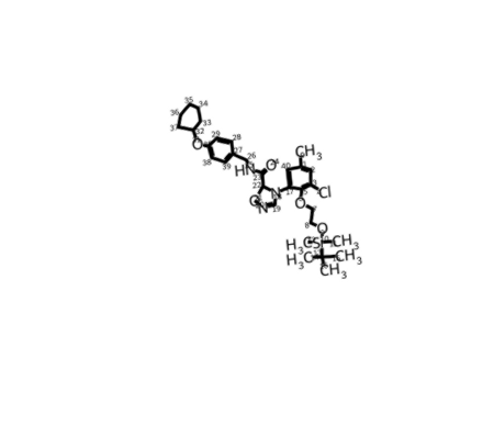 Cc1cc(Cl)c(OCCO[Si](C)(C)C(C)(C)C)c(N2C=NOC2C(=O)NCc2ccc(OC3CCCCC3)cc2)c1